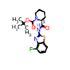 CC(C)(C)OC(=O)N1CCCC[C@H]1C(=O)Nc1nc2c(F)cccc2s1